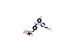 CC(CO)(CO)C(=O)NCc1ccc(C(=O)Nc2ccc(Cl)cc2N2CCN(CCC(F)(F)F)CC2)c(F)c1F